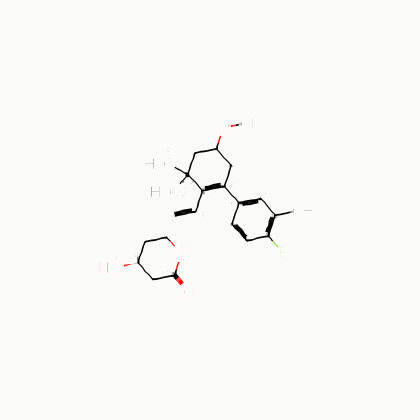 COC1CC(c2ccc(F)c(C)c2)=C(C=C[C@H]2C[C@H](O)CC(=O)O2)C(C)(C)C1